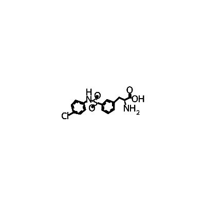 N[C@@H](Cc1cccc(S(=O)(=O)Nc2ccc(Cl)cc2)c1)C(=O)O